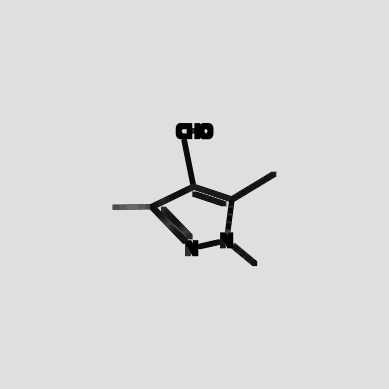 Cc1nn(C)c(C)c1C=O